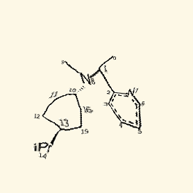 CC(c1ccccn1)N(C)[C@H]1CC[C@H](C(C)C)CC1